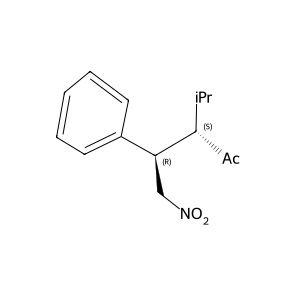 CC(=O)[C@@H](C(C)C)[C@@H](C[N+](=O)[O-])c1ccccc1